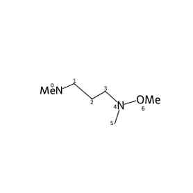 CNCCCN(C)OC